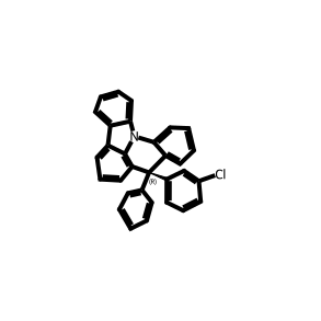 Clc1cccc([C@]2(c3ccccc3)c3ccccc3-n3c4ccccc4c4cccc2c43)c1